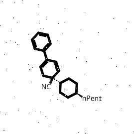 CCCCC[C@H]1CC[C@H](C2(C#N)C=CC(c3ccccc3)=CC2)CC1